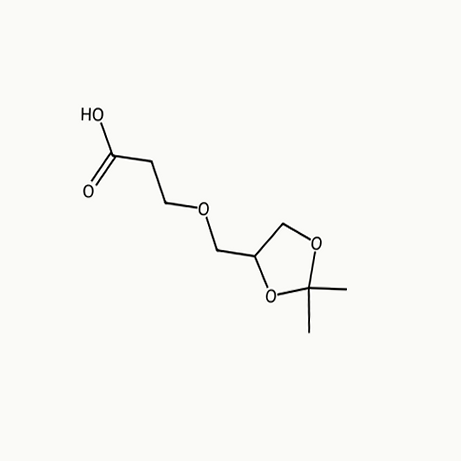 CC1(C)OCC(COCCC(=O)O)O1